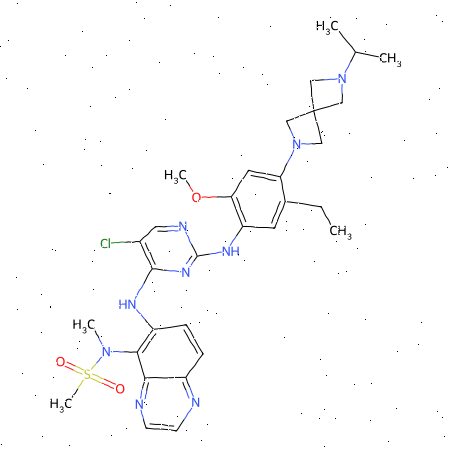 CCc1cc(Nc2ncc(Cl)c(Nc3ccc4nccnc4c3N(C)S(C)(=O)=O)n2)c(OC)cc1N1CC2(C1)CN(C(C)C)C2